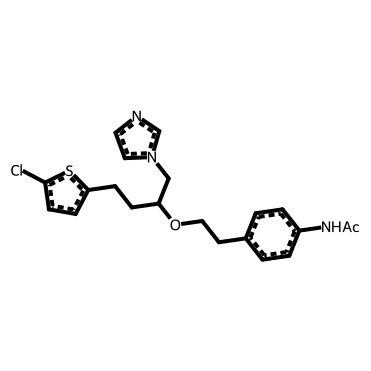 CC(=O)Nc1ccc(CCOC(CCc2ccc(Cl)s2)Cn2ccnc2)cc1